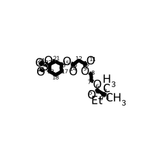 CCC(C)(C)C(=O)OCCOC(=O)CC(=O)OC1CCC2CC1OS2(=O)=O